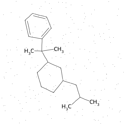 CC(C)CC1CCCC(C(C)(C)c2ccccc2)C1